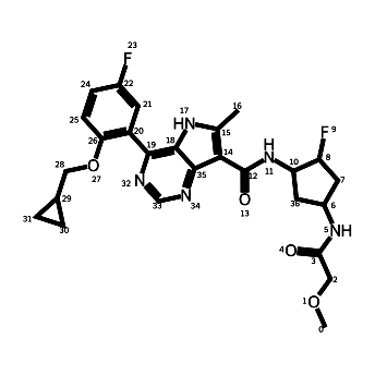 COCC(=O)NC1CC(F)C(NC(=O)c2c(C)[nH]c3c(-c4cc(F)ccc4OCC4CC4)ncnc23)C1